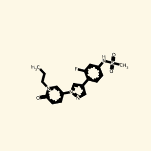 CCCn1cc(-n2cc(-c3ccc(NS(C)(=O)=O)cc3F)cn2)ccc1=O